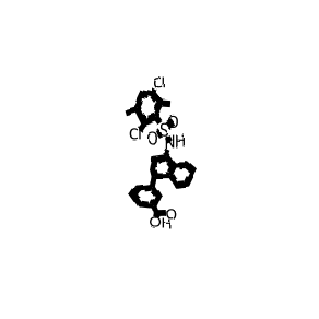 Cc1cc(Cl)c(C)c(S(=O)(=O)Nc2ccc(-c3cccc(C(=O)O)c3)c3ccccc23)c1Cl